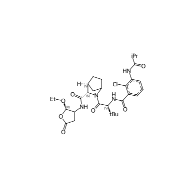 CCO[C@@H]1OC(=O)CC1NC(=O)[C@@H]1[C@H]2CCC(C2)N1C(=O)[C@@H](NC(=O)c1cccc(NC(=O)C(C)C)c1Cl)C(C)(C)C